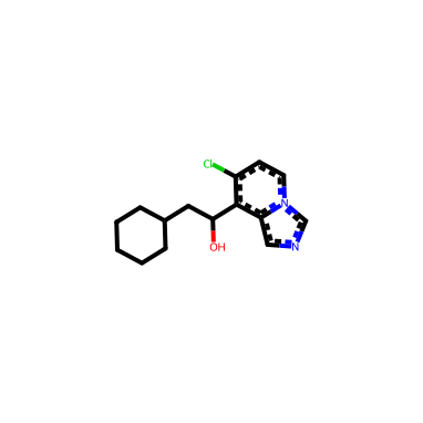 OC(CC1CCCCC1)c1c(Cl)ccn2cncc12